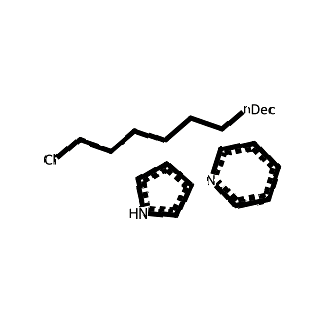 CCCCCCCCCCCCCCCCCl.c1cc[nH]c1.c1ccncc1